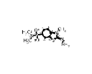 CN(C)S(=O)(=O)c1ccc2c(c1)sc(=NN)n2C